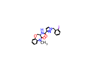 CN1C(=O)C(NC(=O)c2ccn(Cc3ccccc3I)n2)COc2ccccc21